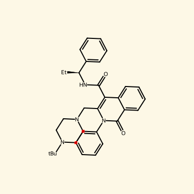 CC[C@H](NC(=O)c1c(CN2CCN(C(C)(C)C)CC2)n(-c2ccccc2)c(=O)c2ccccc12)c1ccccc1